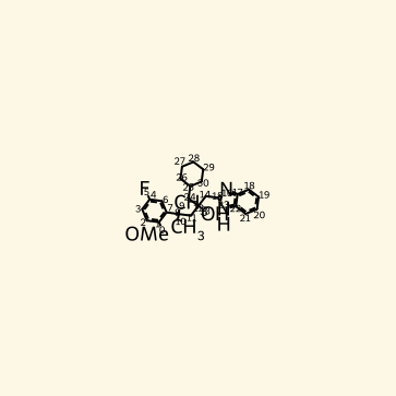 COc1ccc(F)cc1C(C)(C)CC(O)(Cc1nc2ccccc2[nH]1)CC1CCCCC1